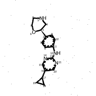 c1cc([C@@H]2CNCCO2)ccc1Nc1ncc(C2CC2)cn1